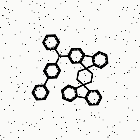 c1ccc(-c2ccc(N(c3ccccc3)c3ccc4c(c3)C3(CCC5(CC3)c3ccccc3-c3ccccc35)c3ccccc3-4)cc2)cc1